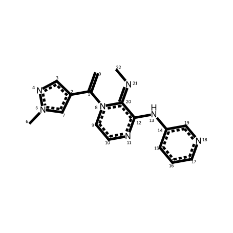 C=C(c1cnn(C)c1)n1ccnc(Nc2cccnc2)/c1=N/C